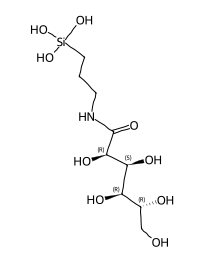 O=C(NCCC[Si](O)(O)O)[C@H](O)[C@@H](O)[C@H](O)[C@H](O)CO